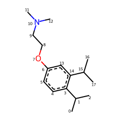 CC(C)c1ccc(OCCN(C)C)cc1C(C)C